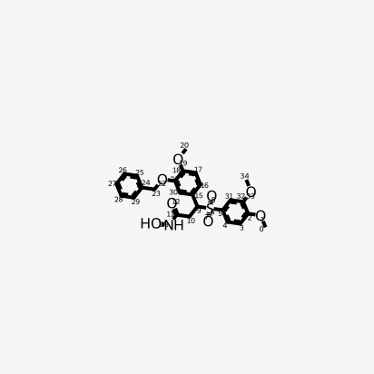 COc1ccc(S(=O)(=O)C(CC(=O)NO)c2ccc(OC)c(OCc3ccccc3)c2)cc1OC